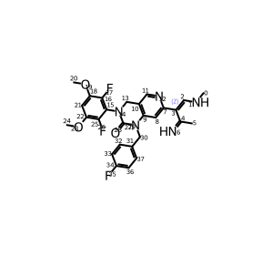 CN/C=C(\C(C)=N)c1cc2c(cn1)CN(c1c(F)c(OC)cc(OC)c1F)C(=O)N2Cc1ccc(F)cc1